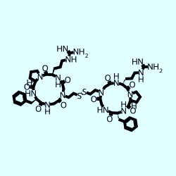 N=C(N)NCCC[C@H]1NC(=O)CN(CCSSCCN2CC(=O)N[C@H](CCCNC(=N)N)C(=O)N3CCC[C@@H]3C(=O)N[C@H](Cc3ccccc3)C(=O)NCC2=O)C(=O)CNC(=O)[C@@H](Cc2ccccc2)NC(=O)[C@H]2CCCN2C1=O